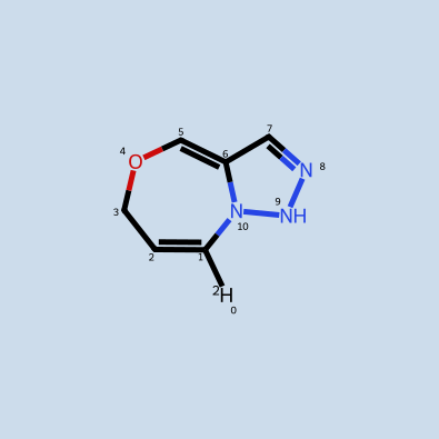 [2H]C1=CCOC=C2C=NNN12